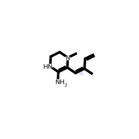 C=C/C(C)=C\C1=C(N)NCCN1C